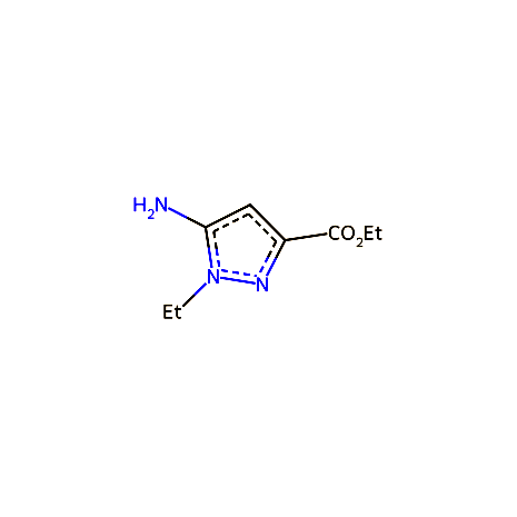 CCOC(=O)c1cc(N)n(CC)n1